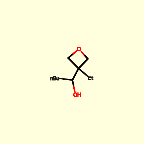 CCCCC(O)C1(CC)COC1